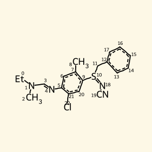 CCN(C)C=Nc1cc(C)c(/S(Cc2ccccc2)=N\C#N)cc1Cl